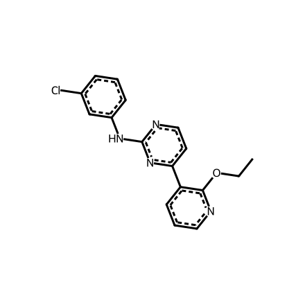 CCOc1ncccc1-c1ccnc(Nc2cccc(Cl)c2)n1